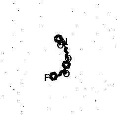 O=C(/C=C/c1ccc(F)cc1)c1ccc(OCCCSc2nc3ccccc3o2)cc1